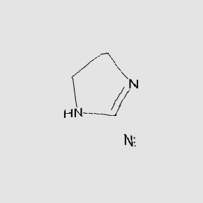 C1=NCCN1.[N]